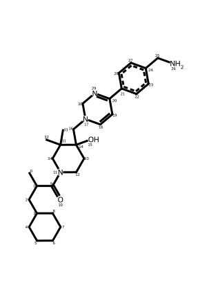 CC(CC1CCCCC1)C(=O)N1CCC(O)(CN2C=CC(c3ccc(CN)cc3)=NC2)C(C)(C)C1